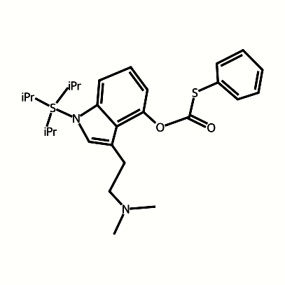 CC(C)S(C(C)C)(C(C)C)n1cc(CCN(C)C)c2c(OC(=O)Sc3ccccc3)cccc21